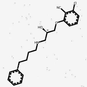 N#Cc1c(Cl)cccc1OC[C@H](O)CNCCCCc1ccccc1